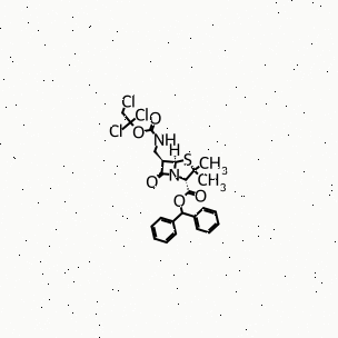 CC1(C)S[C@@H]2[C@H](CNC(=O)OC(Cl)(Cl)CCl)C(=O)N2[C@H]1C(=O)OC(c1ccccc1)c1ccccc1